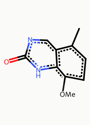 COc1ccc(C)c2cnc(=O)[nH]c12